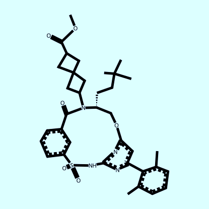 COC(=O)C1CC2(C1)CC(N1C(=O)c3cccc(c3)S(=O)(=O)Nc3nc(cc(-c4c(C)cccc4C)n3)OC[C@H]1CCC(C)(C)C)C2